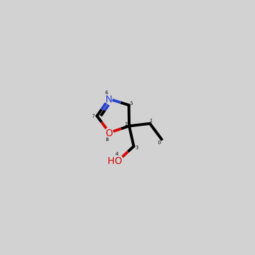 CCC1(CO)CN=CO1